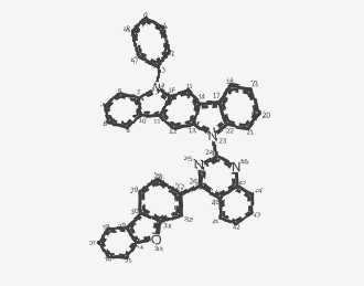 c1ccc(-n2c3ccccc3c3cc4c(cc32)c2ccccc2n4-c2nc(-c3ccc4c(c3)oc3ccccc34)c3ccccc3n2)cc1